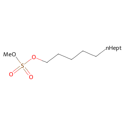 CCCCCCCCCCCCOS(=O)(=O)OC